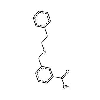 O=C(O)c1cccc(CSCCc2ccccc2)c1